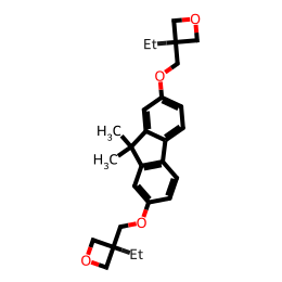 CCC1(COc2ccc3c(c2)C(C)(C)c2cc(OCC4(CC)COC4)ccc2-3)COC1